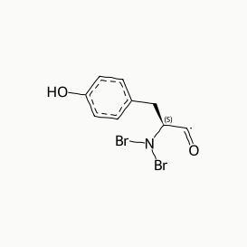 O=[C][C@H](Cc1ccc(O)cc1)N(Br)Br